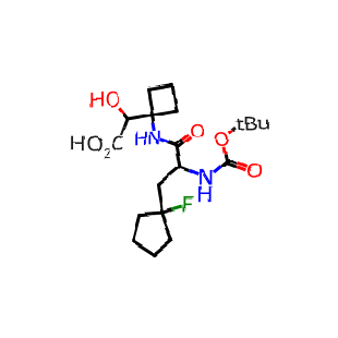 CC(C)(C)OC(=O)NC(CC1(F)CCCC1)C(=O)NC1(C(O)C(=O)O)CCC1